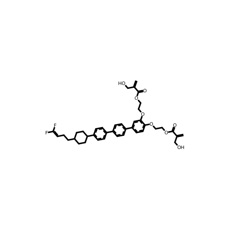 C=C(CO)C(=O)OCCOc1ccc(-c2ccc(-c3ccc(C4CCC(CCC=C(F)F)CC4)cc3)cc2)cc1OCCOC(=O)C(=C)CO